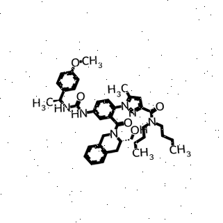 CCCCN(CCCC)C(=O)c1cc(C)n(-c2ccc(NC(=O)N[C@@H](C)c3ccc(OC)cc3)cc2C(=O)N2Cc3ccccc3C[C@H]2CO)n1